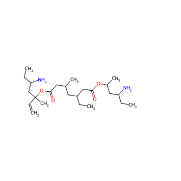 C=CC(C)(CC(N)CC)OC(=O)CC(C)CC(CC)CC(=O)OC(C)CC(N)CC